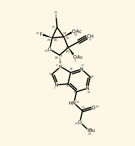 C#C[C@]1(OC(C)=O)[C@H](n2cnc3c(NC(=O)OC(C)(C)C)ncnc32)O[C@]2(F)C(I)[C@]12OC(C)=O